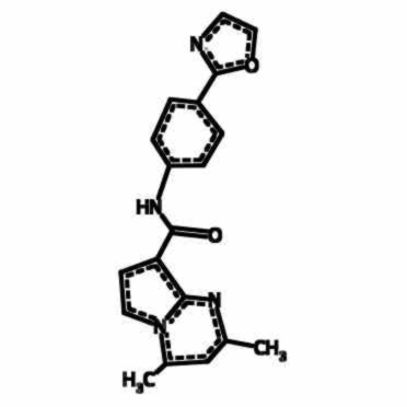 Cc1cc(C)n2ccc(C(=O)Nc3ccc(-c4ncco4)cc3)c2n1